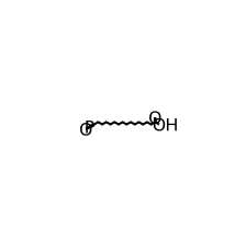 O=P#CCCCCCCCCCCCCCCC(=O)O